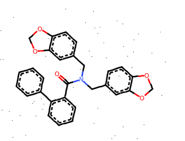 O=C(c1ccccc1-c1ccccc1)N(Cc1ccc2c(c1)OCO2)Cc1ccc2c(c1)OCO2